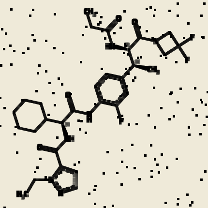 CCC(=O)N[C@@H](C(=O)N1CC(F)(F)C1)[C@@H](C)c1ccc(NC(=O)[C@@H](NC(=O)c2ccnn2CC)C2CCCCC2)c(F)c1